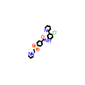 O=C(Nc1ccc(Cl)c(-c2ccccn2)c1)c1ccc(S(=O)(=O)CCn2cccn2)cc1